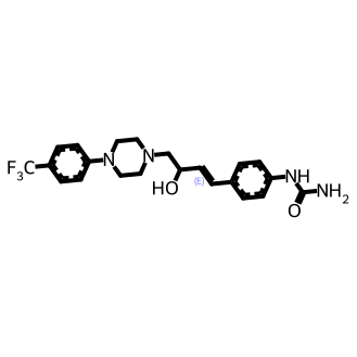 NC(=O)Nc1ccc(/C=C/C(O)CN2CCN(c3ccc(C(F)(F)F)cc3)CC2)cc1